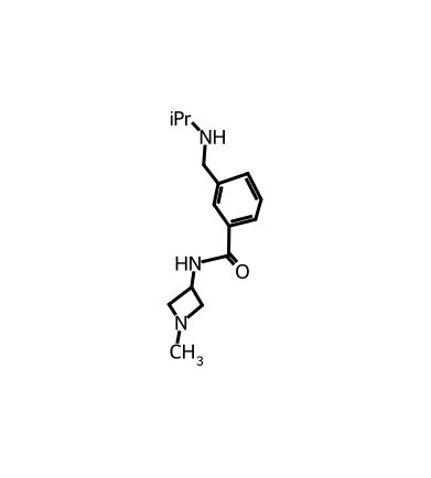 CC(C)NCc1cccc(C(=O)NC2CN(C)C2)c1